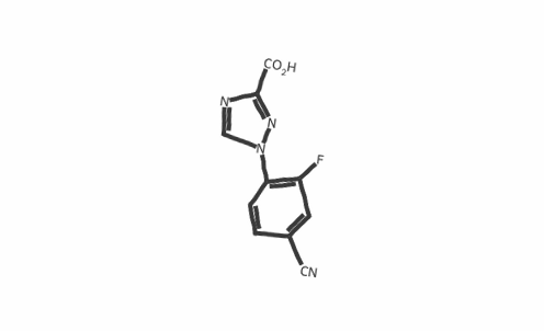 N#Cc1ccc(-n2cnc(C(=O)O)n2)c(F)c1